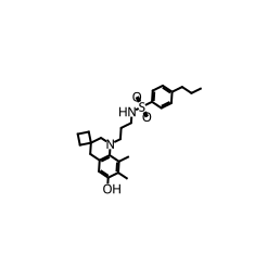 CCCc1ccc(S(=O)(=O)NCCCN2CC3(CCC3)Cc3cc(O)c(C)c(C)c32)cc1